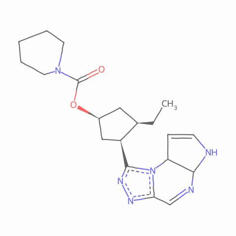 CC[C@@H]1C[C@H](OC(=O)N2CCCCC2)C[C@@H]1c1nnc2n1C1C=CNC1N=C2